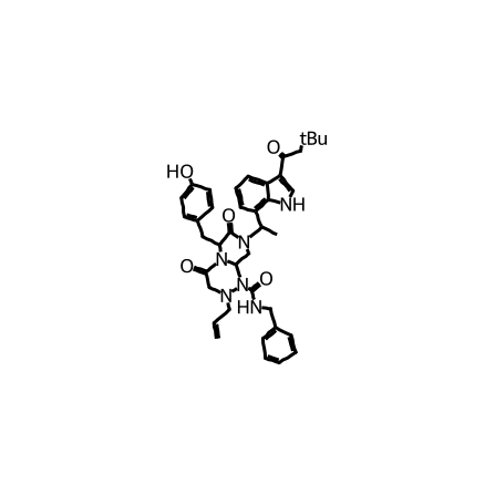 C=CCN1CC(=O)N2C(Cc3ccc(O)cc3)C(=O)N(C(C)c3cccc4c(C(=O)CC(C)(C)C)c[nH]c34)CC2N1C(=O)NCc1ccccc1